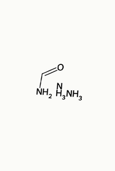 N.N.NC=O